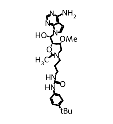 CO[C@@H]1CN(CCCNC(=O)Nc2ccc(C(C)(C)C)cc2)C(C)O[C@H]1[C@@H](O)n1ccc2c(N)ncnc21